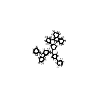 C1=CC(N(c2ccc(-c3ccccc3)cc2)c2ccc3c(c2)c2ccccc2n3-c2ccccc2)CC(c2ccccc2-c2nc3ccccc3c3ccccc23)=C1